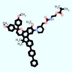 C=C(C)C(=O)OCCNC(=O)OCC1CCCN(c2cc3c4c(c5c(c3cc2OC)OC(c2ccc(OC)cc2)(c2ccc(OC)cc2)C=C5)C(C)(C)c2cc(-c3ccc(-c5ccccc5)cc3)ccc2-4)C1